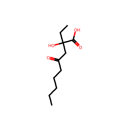 CCCCCC(=O)CC(O)(CC)C(=O)O